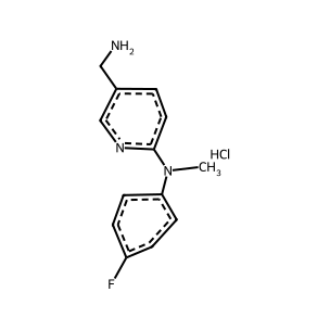 CN(c1ccc(F)cc1)c1ccc(CN)cn1.Cl